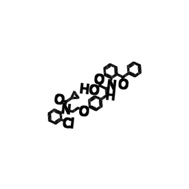 O=C(c1ccccc1)c1ccccc1NC(Cc1ccc(OCCN(C(=O)C2CC2)c2ccccc2Cl)cc1)C(=O)O